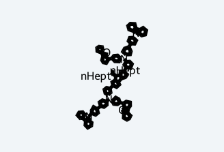 CCCCCCCC(CCCCCCC)=C1c2cc(-c3cccc(N(c4ccc(-c5ccc(-n6c7ccccc7c7ccccc76)cc5)cc4)c4ccc(-c5cccc6c5oc5ccccc56)cc4)c3)ccc2-c2ccc(-c3cccc(N(c4ccc(-c5ccc(-n6c7ccccc7c7ccccc76)cc5)cc4)c4ccc(-c5cccc6c5oc5ccccc56)cc4)c3)cc21